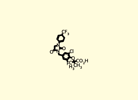 CC(C)(Oc1c(F)cc(CN2C(=O)CN(C3=CCC(C(F)(F)F)C=C3)C2=O)cc1Cl)C(=O)O